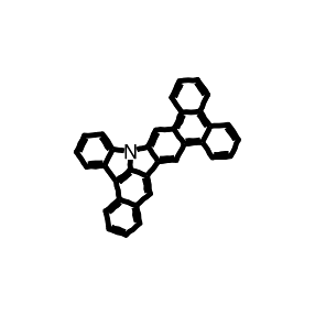 c1ccc2c(c1)cc1c3cc4c5ccccc5c5ccccc5c4cc3n3c4ccccc4c2c13